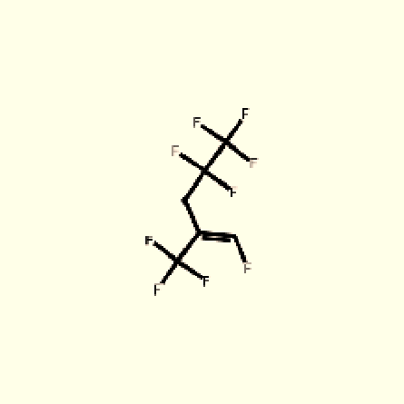 F/C=C(/CC(F)(F)C(F)(F)F)C(F)(F)F